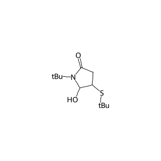 CC(C)(C)SC1CC(=O)N(C(C)(C)C)C1O